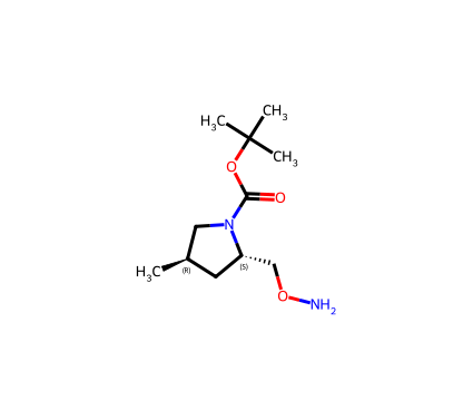 C[C@@H]1C[C@@H](CON)N(C(=O)OC(C)(C)C)C1